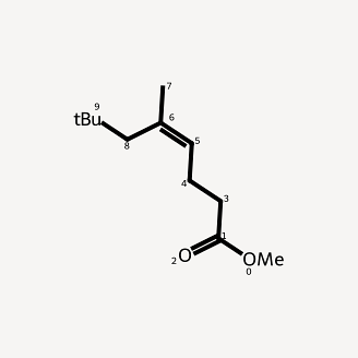 COC(=O)CCC=C(C)CC(C)(C)C